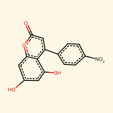 O=c1cc(-c2ccc([N+](=O)[O-])cc2)c2c(O)cc(O)cc2o1